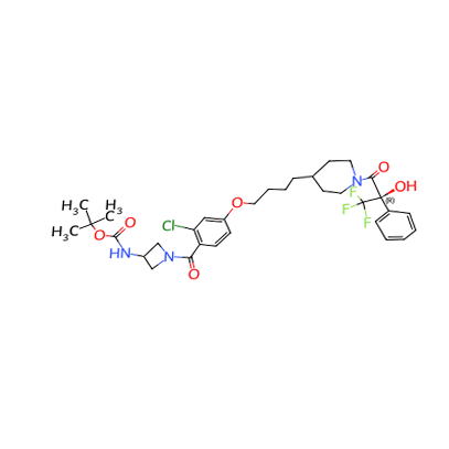 CC(C)(C)OC(=O)NC1CN(C(=O)c2ccc(OCCCCC3CCN(C(=O)[C@](O)(c4ccccc4)C(F)(F)F)CC3)cc2Cl)C1